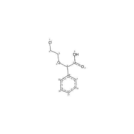 O=C(O)C(OCCCl)c1ccccc1